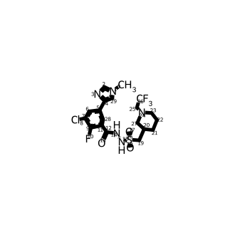 Cn1cnc(-c2cc(Cl)c(F)c(C(=O)NNS(=O)(=O)CC3CCCN(CC(F)(F)F)C3)c2)c1